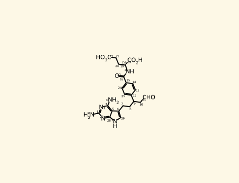 Nc1nc(N)c2c(CCC(CC=O)c3ccc(C(=O)N[C@@H](CCC(=O)O)C(=O)O)cc3)c[nH]c2n1